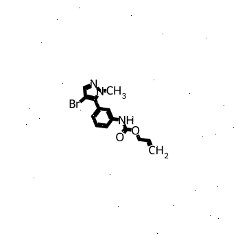 C=CCOC(=O)Nc1cccc(-c2c(Br)cnn2C)c1